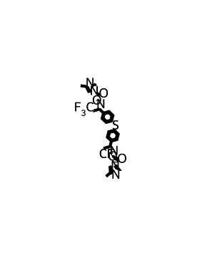 Cc1cn(C(=O)O/N=C(\CC(F)(F)F)c2ccc(Sc3ccc(/C(CC(F)(F)F)=N/OC(=O)n4cnc(C)c4)cc3)cc2)cn1